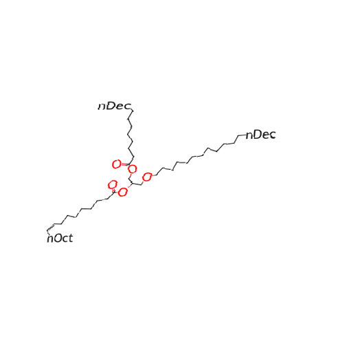 CCCCCCCC/C=C\CCCCCCCC(=O)OC(COCCCCCCCCCCCCCCCCCCCCCC)COC(=O)CCCCCCCCCCCCCCCCC